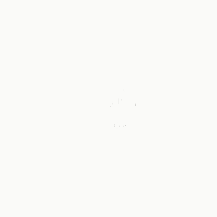 C=CCOP(=O)([S-])[S-].[Co+2]